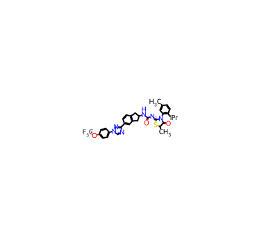 Cc1ccc(C(C)C)c(N2C(=O)C(C)S/C2=N\C(=O)NC2Cc3ccc(-c4ncn(-c5ccc(OC(F)(F)F)cc5)n4)cc3C2)c1